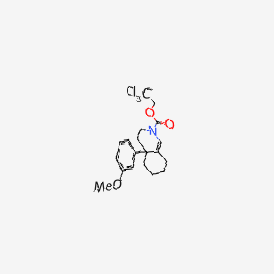 COc1cccc(C23CCCCC2=CN(C(=O)OCC(Cl)(Cl)Cl)CC3)c1